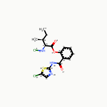 CC[C@H](C)[C@H](NCl)C(=O)Oc1ccccc1C(=O)Nc1ncc(Cl)s1